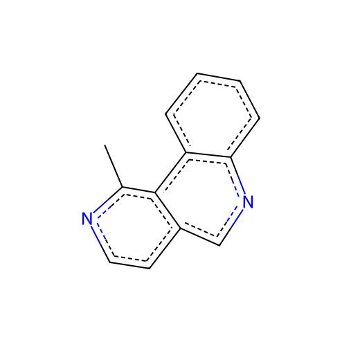 Cc1nccc2cnc3ccccc3c12